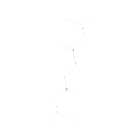 CCC(OC(=O)/C=C/C(=O)OC(CC)C(C)(C)C)C(C)(C)C